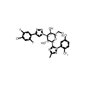 Cc1nc([C@@H]2O[C@H](CO)[C@H](O)[C@H](n3cc(-c4cc(F)c(Cl)cc4F)nn3)[C@H]2O)n(-c2cc(Cl)ccc2C(F)(F)F)n1